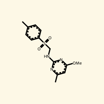 COc1cc(C)nc(NCS(=O)(=O)c2ccc(C)cc2)n1